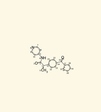 C[C@@H](C(=O)Nc1ccncc1)c1ccc(C(=O)c2cccs2)cc1